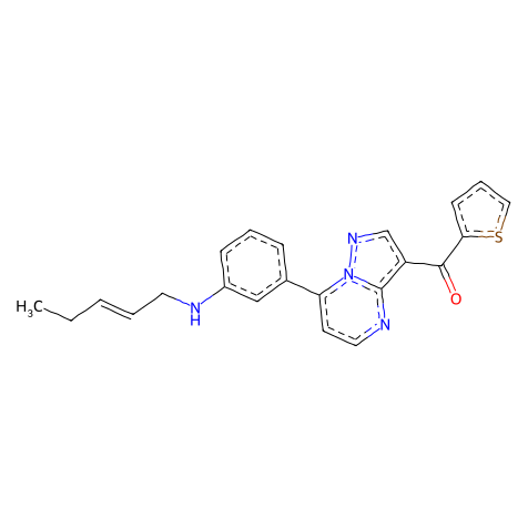 CC/C=C/CNc1cccc(-c2ccnc3c(C(=O)c4cccs4)cnn23)c1